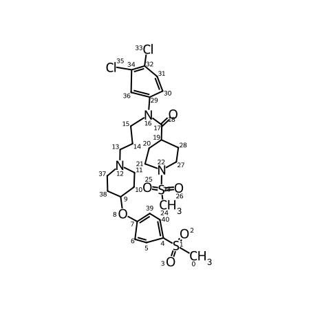 CS(=O)(=O)c1ccc(OC2CCN(CCCN(C(=O)C3CCN(S(C)(=O)=O)CC3)c3ccc(Cl)c(Cl)c3)CC2)cc1